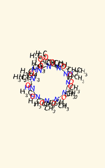 C/C=C/C[C@@H](C)[C@H]1ON2C(=O)[C@H](C(C)C)N(C)C(=O)[C@H](CC(C)C)N(C)C(=O)[C@H](CC(C)C)N(C)C(=O)[C@@H](C)NC(=O)[C@H](C)NC(=O)[C@H](CC(C)C)N(C)C(=O)[C@H](C(C)C)NC(=O)[C@H](C(C)(C)C(OC)OC)N(C)C(=O)[C@@H](C)N(C)C(=O)[C@H](CC)NC(=O)[C@H]12